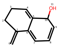 C=C1CCC=C2C1=CC=CC2O